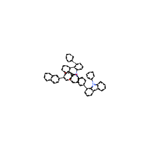 c1ccc(-c2ccccc2-c2c(-c3ccccc3)cccc2N(c2ccc(-c3ccc4ccccc4c3)cc2)c2ccc(-c3cccc4c5ccccc5n(-c5ccccc5)c34)cc2)cc1